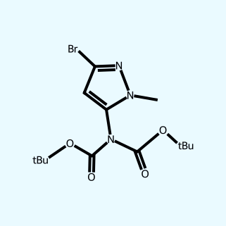 Cn1nc(Br)cc1N(C(=O)OC(C)(C)C)C(=O)OC(C)(C)C